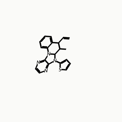 C=CC1c2ccccc2N2c3nccnc3N(c3cccs3)C2C1C